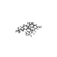 C=C(CC)/C(=C1/OC(C)=C(c2ccc(Cl)cc2C)N1N)n1nc(C(F)(F)F)cc1C